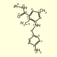 Cc1cc(NCc2ccc(N)cc2)c(C)c(C(=O)NC(C)C)c1